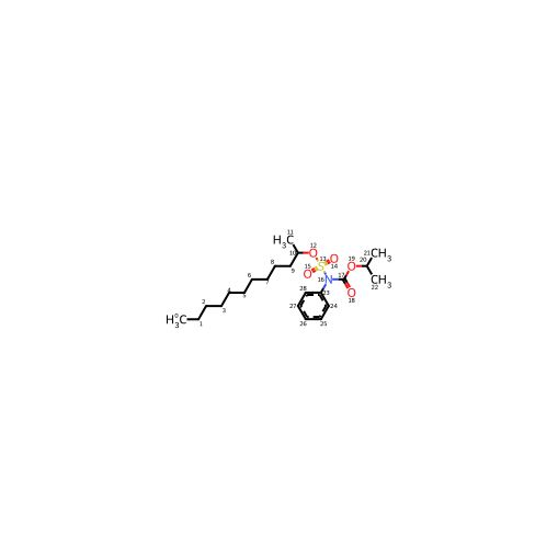 CCCCCCCCCCC(C)OS(=O)(=O)N(C(=O)OC(C)C)c1ccccc1